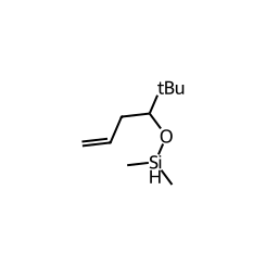 C=CCC(O[SiH](C)C)C(C)(C)C